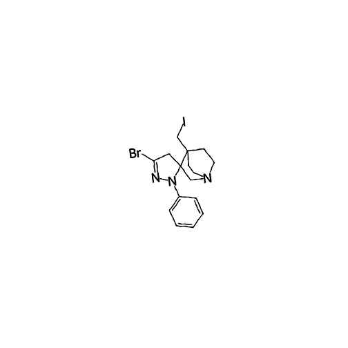 BrC1=NN(c2ccccc2)C2(C1)CN1CCC2(CI)CC1